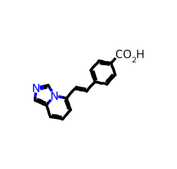 O=C(O)c1ccc(/C=C/c2cccc3cncn23)cc1